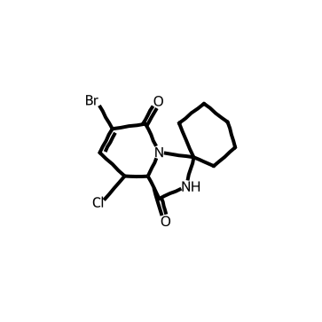 O=C1NC2(CCCCC2)N2C(=O)C(Br)=CC(Cl)C12